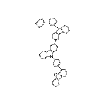 C1=CCC2C(=C1)N(c1ccc(-c3cccc4c3oc3ccccc34)cc1)c1ccc(-c3ccc4c(c3)c3ccccc3n4-c3cccc(-c4ccccc4)c3)cc12